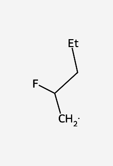 [CH2]CCC([CH2])F